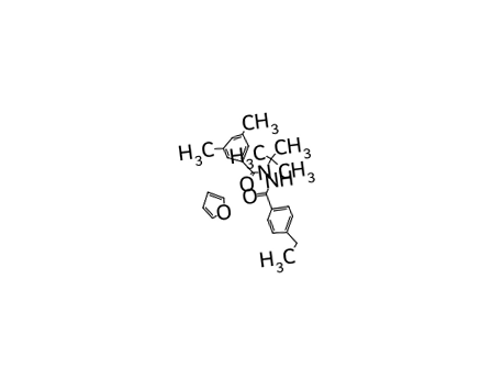 CCc1ccc(C(=O)NN(C(=O)c2cc(C)cc(C)c2)C(C)(C)C)cc1.c1ccoc1